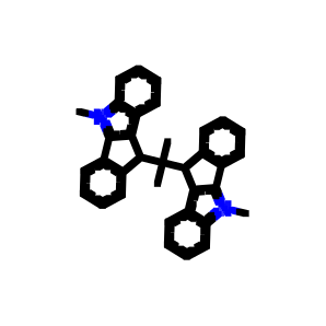 Cn1c2c(c3ccccc31)C(C(C)(C)C1c3ccccc3-c3c1c1ccccc1n3C)c1ccccc1-2